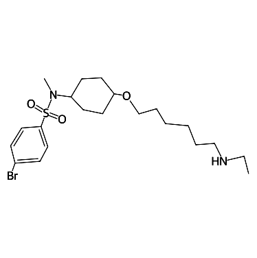 CCNCCCCCCOC1CCC(N(C)S(=O)(=O)c2ccc(Br)cc2)CC1